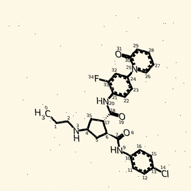 CCCNC1C[C@H](C(=O)Nc2ccc(Cl)cc2)[C@@H](C(=O)Nc2ccc(-n3ccccc3=O)cc2F)C1